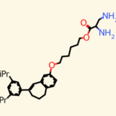 CC(C)c1cc(C2=Cc3cc(OCCCCCCOC(=O)C(N)CN)ccc3CCC2)cc(C(C)C)c1